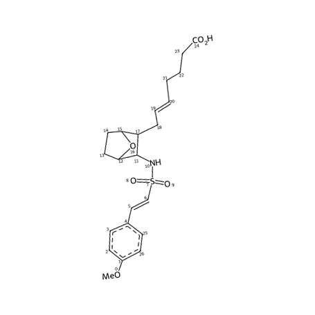 COc1ccc(C=CS(=O)(=O)NC2C3CCC(O3)C2CC=CCCCC(=O)O)cc1